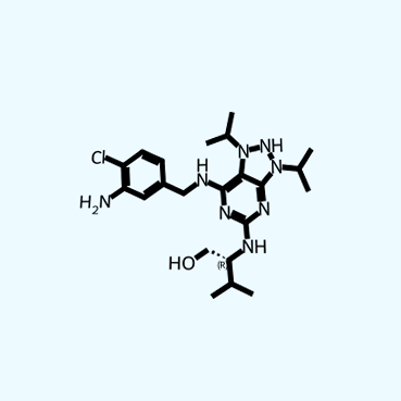 CC(C)[C@H](CO)Nc1nc(NCc2ccc(Cl)c(N)c2)c2c(n1)N(C(C)C)NN2C(C)C